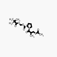 CC(=O)SCC(C)C(=O)N1CCC[C@H]1C(=O)OCOC(=O)C(C)(C)C